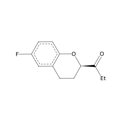 CCC(=O)[C@H]1CCc2cc(F)ccc2O1